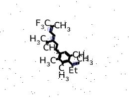 C=C(C)/C(=C\C=C(/C)C(F)(F)F)CCc1cc(C)c(/C(=C\C)CC)c(C)c1C